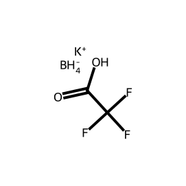 O=C(O)C(F)(F)F.[BH4-].[K+]